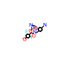 CCOC(C(=O)NCc1ccc(C#N)cc1OCC#N)c1c(F)cc(OC)cc1F